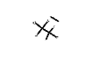 CC.FC(F)(F)C(Cl)(Cl)Cl